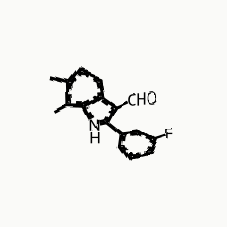 Cc1ccc2c(C=O)c(-c3cccc(F)c3)[nH]c2c1C